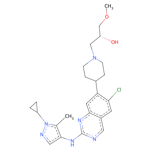 COC[C@H](O)CN1CCC(c2cc3nc(Nc4cnn(C5CC5)c4C)ncc3cc2Cl)CC1